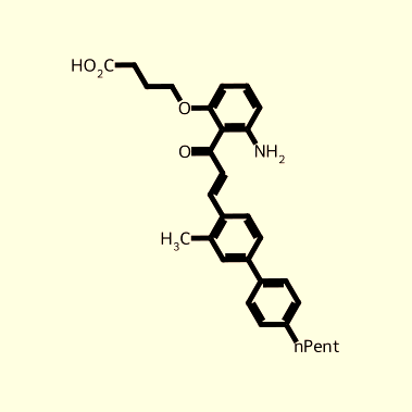 CCCCCc1ccc(-c2ccc(C=CC(=O)c3c(N)cccc3OCCCC(=O)O)c(C)c2)cc1